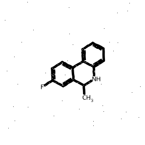 CC1Nc2ccccc2-c2ccc(F)cc21